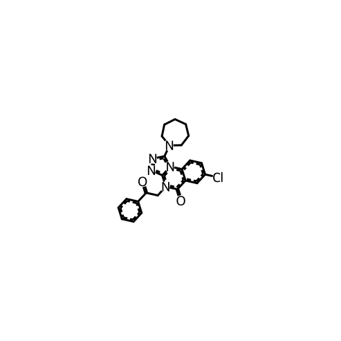 O=C(Cn1c(=O)c2cc(Cl)ccc2n2c(N3CCCCCC3)nnc12)c1ccccc1